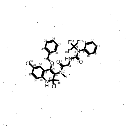 CN(C(=O)CNC(=O)N(c1ccccc1)C(F)(F)F)C1=C(OCc2ccccc2)c2cc(Cl)ccc2NC1(C)Cl